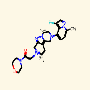 C[C@@H]1CN(c2ccc(C#N)n3ncc(F)c23)Cc2c3c(nn21)CN(CC(=O)N1CCOCC1)[C@@H](C)C3